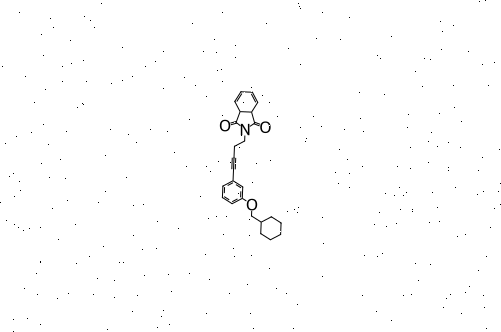 O=C1C2C=CC=CC2C(=O)N1CCC#Cc1cccc(OCC2CCCCC2)c1